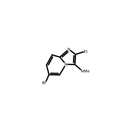 CCc1nc2ccc(Br)cn2c1NC